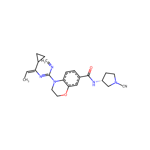 C=N/C(=N\C(=C/C)C1CC1)N1CCOc2cc(C(=O)N[C@@H]3CCN(C#N)C3)ccc21